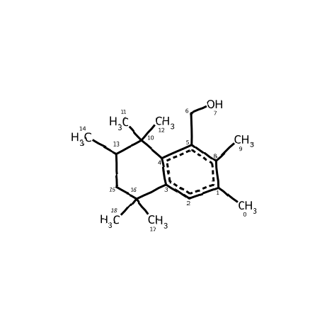 Cc1cc2c(c(CO)c1C)C(C)(C)C(C)CC2(C)C